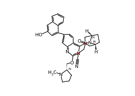 CN1CCC[C@H]1COc1nc(N2C[C@H]3CC[C@@H](C2)N3C(=O)CCC#N)c2ccc(-c3cc(O)cc4ccccc34)cc2n1